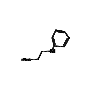 C[CH]CCCCCNc1ccccc1